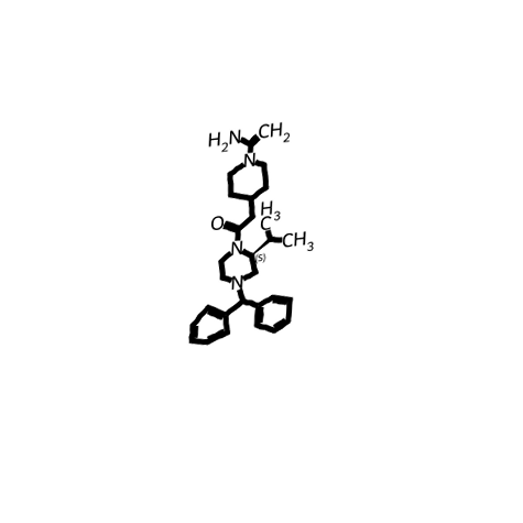 C=C(N)N1CCC(CC(=O)N2CCN(C(c3ccccc3)c3ccccc3)C[C@@H]2C(C)C)CC1